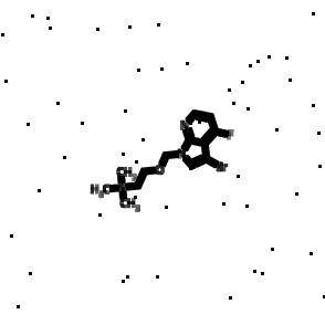 C[Si](C)(C)CCOCn1cc(Br)c2c(F)ccnc21